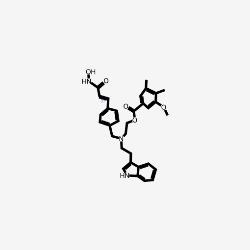 COc1cc(C(=O)OCCN(CCc2c[nH]c3ccccc23)Cc2ccc(/C=C/C(=O)NO)cc2)cc(C)c1C